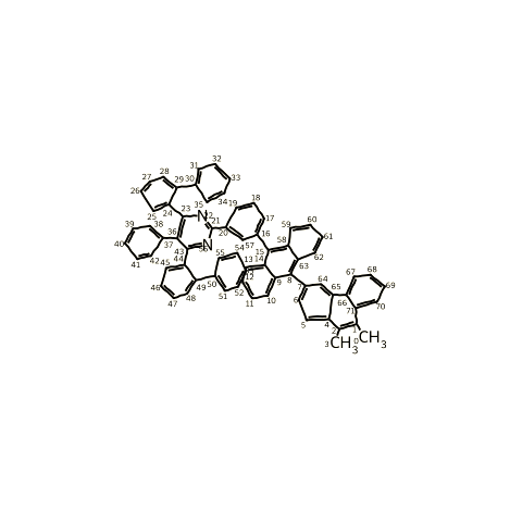 Cc1c(C)c2ccc(-c3c4ccccc4c(-c4cccc(-c5nc(-c6ccccc6-c6ccccc6)c(-c6ccccc6)c(-c6ccccc6-c6ccccc6)n5)c4)c4ccccc34)cc2c2ccccc12